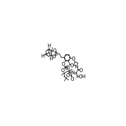 C[C@@H](O)[C@H](NC(=O)OC(C)(C)C)C(=O)N1CC(Oc2ccc(CCB3O[C@@H]4C[C@@H]5C[C@@H](C5(C)C)[C@]4(C)O3)c(OC(=O)OC(C)(C)C)c2C(=O)OC(C)(C)C)C1